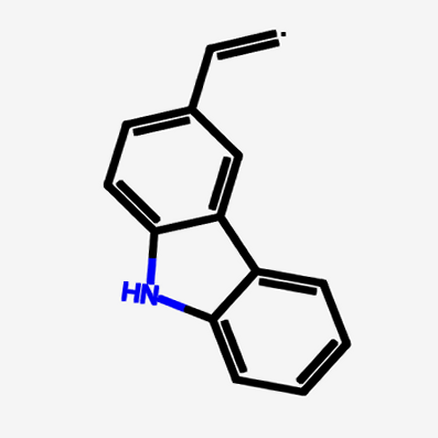 [CH]=Cc1ccc2[nH]c3ccccc3c2c1